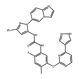 Cc1cc(F)c(NC(=O)Nc2cc(C(C)C)nn2-c2ccc3nccn3c2)cc1Oc1nccc(-c2cn[nH]c2)n1